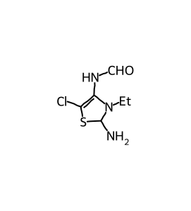 CCN1C(NC=O)=C(Cl)SC1N